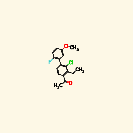 CCc1c(C(C)=O)ccc(-c2cc(OC)ccc2F)c1Cl